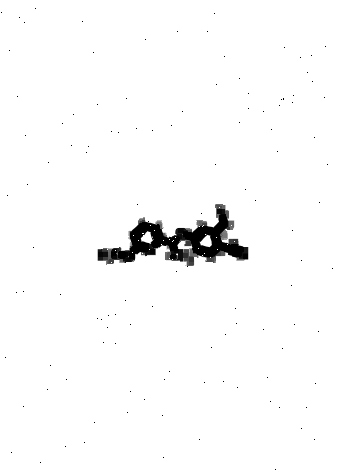 COc1cccc(C(C)Oc2ccc(C#N)c(CF)c2)n1